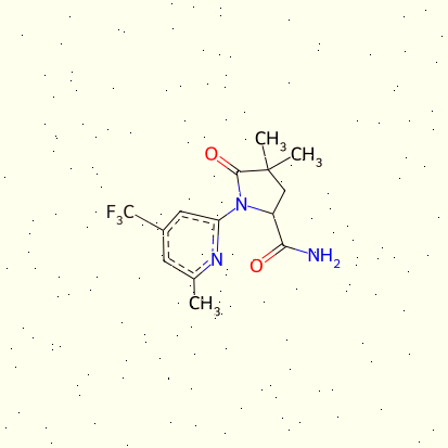 Cc1cc(C(F)(F)F)cc(N2C(=O)C(C)(C)CC2C(N)=O)n1